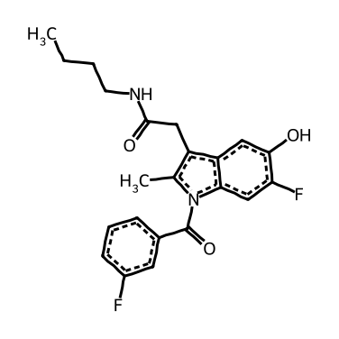 CCCCNC(=O)Cc1c(C)n(C(=O)c2cccc(F)c2)c2cc(F)c(O)cc12